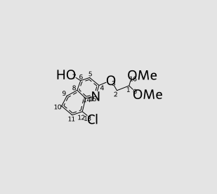 COC(COc1cc(O)c2cccc(Cl)c2n1)OC